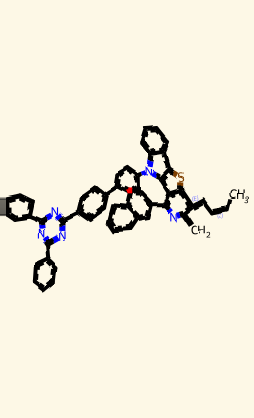 C=c1nc(-c2ccc3ccccc3c2)c2c(sc3c4ccccc4n(-c4ccc(-c5ccc(-c6nc(-c7ccccc7)nc(-c7ccccc7)n6)cc5)cc4)c32)/c1=C/C=C\C